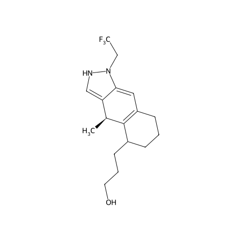 C[C@H]1C2=CNN(CC(F)(F)F)C2=CC2=C1C(CCCO)CCC2